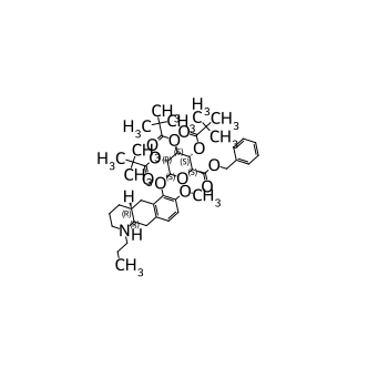 CCCN1CCC[C@@H]2Cc3c(ccc(OC)c3O[C@@H]3O[C@H](C(=O)OCc4ccccc4)[C@@H](OC(=O)C(C)(C)C)[C@H](OC(=O)C(C)(C)C)[C@H]3OC(=O)C(C)(C)C)C[C@H]21